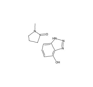 CN1CCCC1=O.Oc1cccc2[nH]nnc12